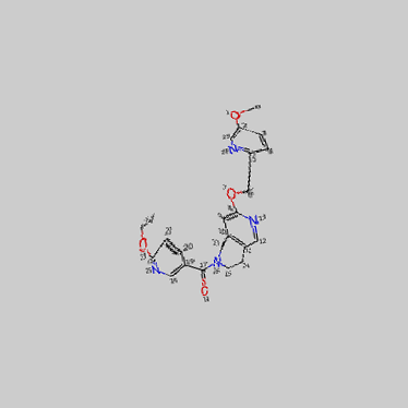 COc1ccc(COc2cc3c(cn2)CCN(C(=O)c2ccc(OC)nc2)C3)nc1